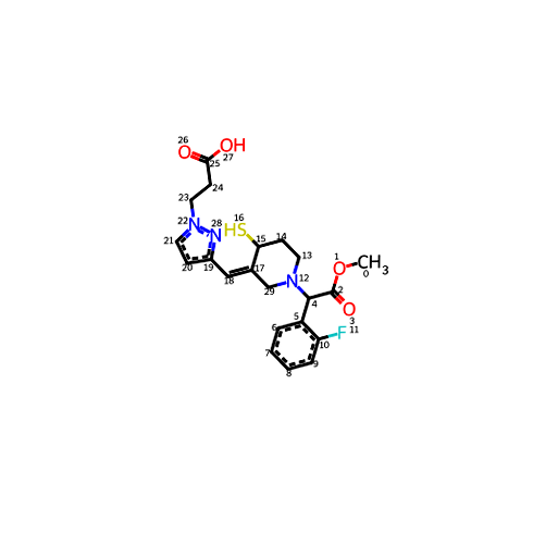 COC(=O)C(c1ccccc1F)N1CCC(S)/C(=C\c2ccn(CCC(=O)O)n2)C1